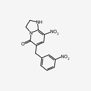 O=c1c(Cc2cccc([N+](=O)[O-])c2)cc([N+](=O)[O-])c2n1CCN2